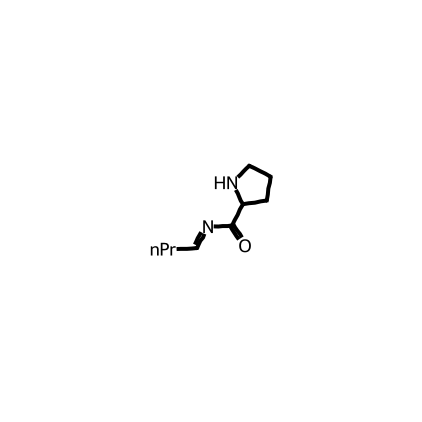 CCCC=NC(=O)C1CCCN1